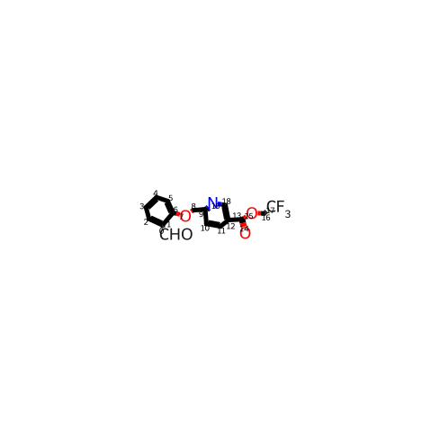 O=Cc1ccccc1OCc1ccc(C(=O)OCC(F)(F)F)cn1